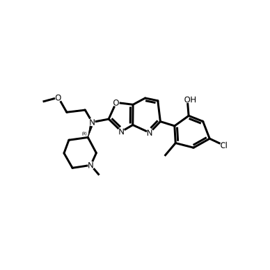 COCCN(c1nc2nc(-c3c(C)cc(Cl)cc3O)ccc2o1)[C@@H]1CCCN(C)C1